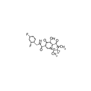 C[C@H]1n2cc(C(=O)NCc3ccc(F)cc3F)c(=O)c(O)c2C(=O)N(C)C12CC2